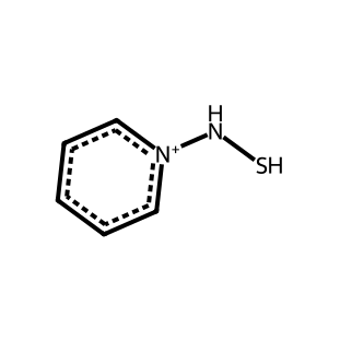 SN[n+]1ccccc1